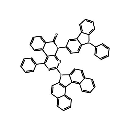 O=c1c2ccccc2c2c(-c3ccccc3)nc(-n3c4ccc5ccccc5c4c4c5ccccc5ccc43)nc2n1-c1ccc2c(c1)c1ccccc1n2-c1ccccc1